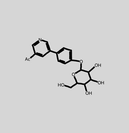 CC(=O)c1cncc(-c2ccc(OC3OC(CO)C(O)C(O)C3O)cc2)c1